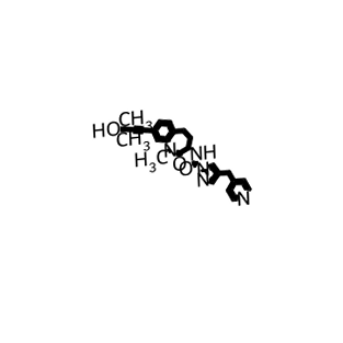 CN1C(=O)[C@@H](NC(=O)n2cc(Cc3ccncc3)cn2)CCc2ccc(C#CC(C)(C)O)cc21